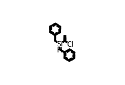 C=C(Cl)[SiH](Cc1ccccc1)Cc1ccccc1